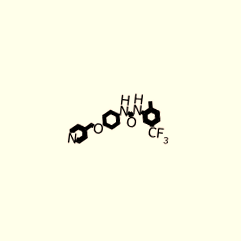 Cc1ccc(C(F)(F)F)cc1NC(=O)N[C@H]1CC[C@H](OCc2ccncc2)CC1